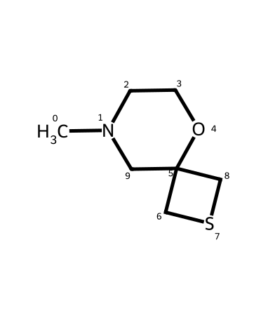 CN1CCOC2(CSC2)C1